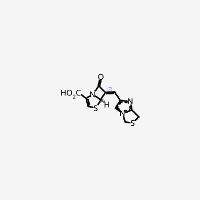 O=C(O)C1=CS[C@@H]2/C(=C\c3cn4c(n3)CSC4)C(=O)N12